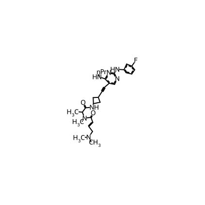 CCCNc1nc(Nc2cccc(F)c2)ncc1C#CC1CC(NC(=O)C(C)N(C)C(=O)/C=C/CN(C)C)C1